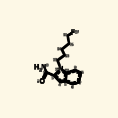 NC(=O)c1cc2ccccc2n1CCCCCF